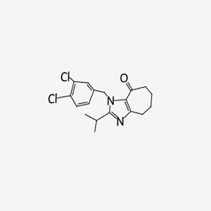 CC(C)c1nc2c(n1Cc1ccc(Cl)c(Cl)c1)C(=O)CCCC2